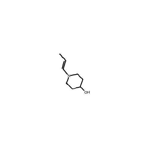 CC=CN1CCC(O)CC1